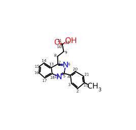 Cc1ccc(-c2nc(CCC(=O)O)c3ccccc3n2)cc1